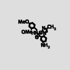 COc1ccc(CNS(=O)(=O)c2cc(N)ccc2-n2cnc(C)c2)c(OC)c1